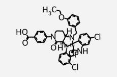 CCOc1cccc(CN2[C@H]3CCN(c4ccc(C(=O)O)cc4)C(=O)[C@H]3[C@H](c3cccc(Cl)c3F)[C@]23C(=O)Nc2cc(Cl)ccc23)c1